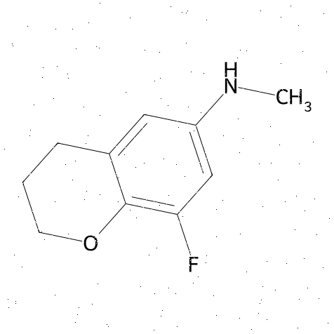 CNc1cc(F)c2c(c1)CCCO2